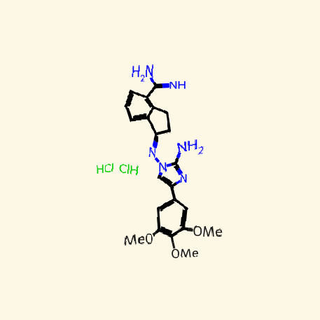 COc1cc(-c2cn(/N=C3\CCc4c(C(=N)N)cccc43)c(N)n2)cc(OC)c1OC.Cl.Cl